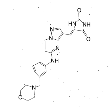 O=C1NC(=O)/C(=C/c2cnn3ccc(Nc4cccc(CN5CCOCC5)c4)nc23)N1